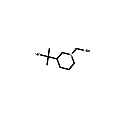 CC(C)(C)CN1CCCC(C(C)(C)O)C1